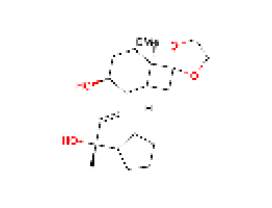 CO[C@@]12CC[C@H](O)[C@@H](/C=C/[C@@](C)(O)C3CCCC3)[C@@H]1CC21OCCO1